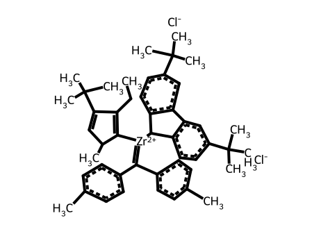 CCC1=[C]([Zr+2](=[C](c2ccc(C)cc2)c2ccc(C)cc2)[CH]2c3ccc(C(C)(C)C)cc3-c3cc(C(C)(C)C)ccc32)C(C)C=C1C(C)(C)C.[Cl-].[Cl-]